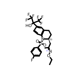 CCO/N=C(\C)C[C@@H]1CCc2cc(C(O)(C(F)(F)F)C(F)(F)F)ccc2N1S(=O)(=O)c1ccc(F)cc1